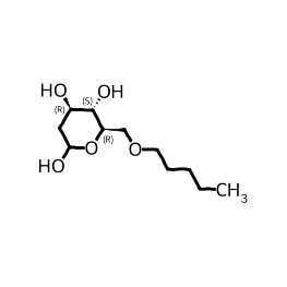 CCCCCOC[C@H]1OC(O)C[C@@H](O)[C@@H]1O